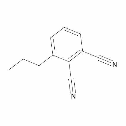 CCCc1cccc(C#N)c1C#N